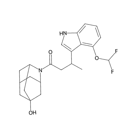 CC(CC(=O)N1C2CC3CC1CC(O)(C3)C2)c1c[nH]c2cccc(OC(F)F)c12